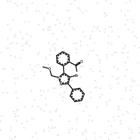 COCn1nc(-c2ccccc2)c(Br)c1-c1ccccc1C(C)=O